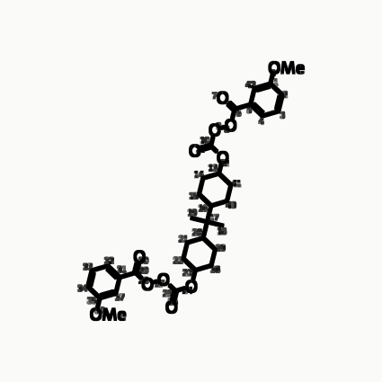 COc1cccc(C(=O)OOC(=O)OC2CCC(C(C)(C)C3CCC(OC(=O)OOC(=O)c4cccc(OC)c4)CC3)CC2)c1